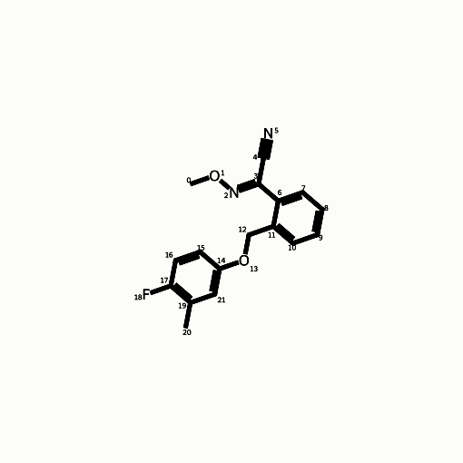 CON=C(C#N)c1ccccc1COc1ccc(F)c(C)c1